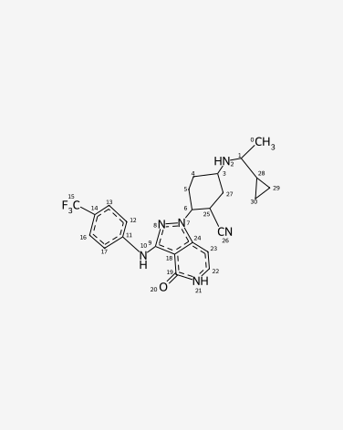 CC(NC1CCC(n2nc(Nc3ccc(C(F)(F)F)cc3)c3c(=O)[nH]ccc32)C(C#N)C1)C1CC1